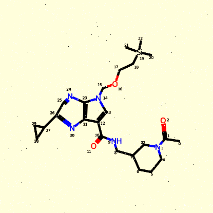 CC(=O)N1CCCC(CNC(=O)c2cn(COCC[Si](C)(C)C)c3ncc(C4CC4)nc23)C1